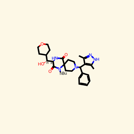 CCCCN1C(=O)[C@@H]([C@H](O)C2CCOCC2)NC(=O)C12CCN(C(c1ccccc1)c1c(C)n[nH]c1C)CC2